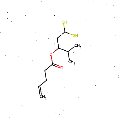 C=CCCC(=O)OC(CC(S)S)C(C)C